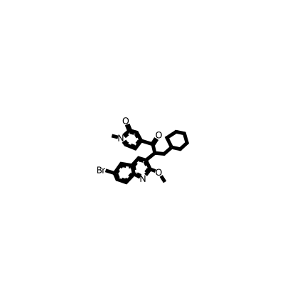 COc1nc2ccc(Br)cc2cc1C(CC1CCCCC1)C(=O)c1ccn(C)c(=O)c1